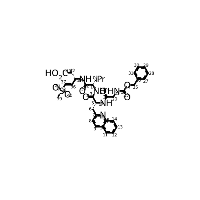 CC(C)[C@H](NC(=O)[C@@H](Cc1ccc2ccccc2n1)NC(=O)CNC(=O)OCc1ccccc1)C(=O)N[C@H](/C=C/S(C)(=O)=O)CC(=O)O